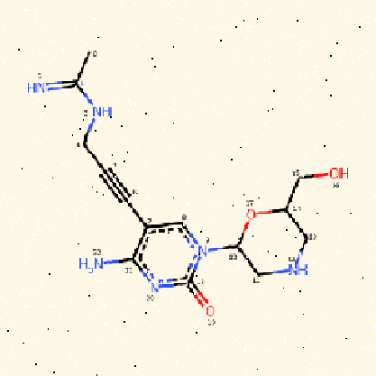 CC(=N)NCC#Cc1cn(C2CNCC(CO)O2)c(=O)nc1N